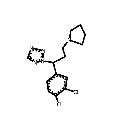 Clc1ccc(C(CCN2CCCC2)n2ncnn2)cc1Cl